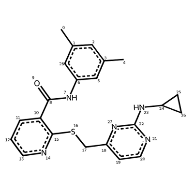 Cc1cc(C)cc(NC(=O)c2cccnc2SCc2ccnc(NC3CC3)n2)c1